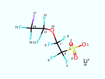 O=S(=O)([O-])C(F)(F)C(F)(F)OC(F)(F)C(F)(F)I.[Li+]